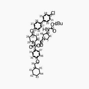 CC(C)(C)OC(=O)N[C@H]1CCN(C(=O)[C@H]2C[C@H](Oc3ccc(-c4ccc(Cl)cc4)cc3)CCN2S(=O)(=O)c2ccc(OCC3CCCCC3)cc2)C1